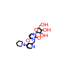 O=c1ccn([C@@H]2O[C@H](CO)[C@H](O)[C@@H]2O)c(=O)n1Cc1cc(N2CCCCC2)ccn1